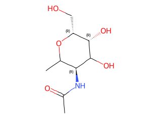 CC(=O)N[C@H]1C(C)O[C@H](CO)[C@H](O)C1O